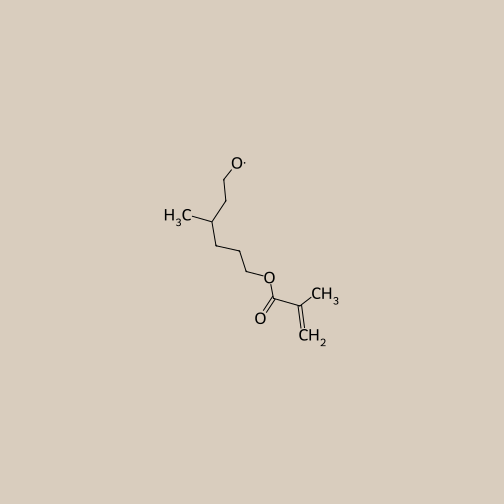 C=C(C)C(=O)OCCCC(C)CC[O]